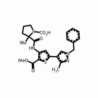 COC(=O)c1sc(-c2cn(Cc3ccccc3)nc2C)cc1NC(=O)C1(C(C)(C)C)CCCN1C(=O)O